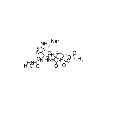 CNC(=O)ON=C(C(=O)N[C@@H]1C(=O)N2C(C(=O)[O-])=C(COC(C)=O)CS[C@@H]12)c1nsc(N)n1.[Na+]